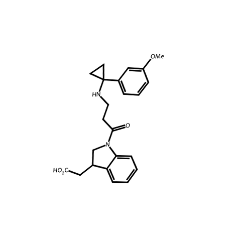 COc1cccc(C2(NCCC(=O)N3CC(CC(=O)O)c4ccccc43)CC2)c1